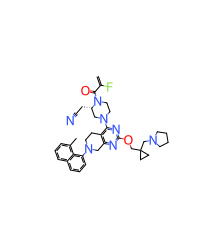 C=C(F)C(=O)N1CCN(c2nc(OCC3(CN4CCCC4)CC3)nc3c2CCN(c2cccc4cccc(C)c24)C3)C[C@@H]1CC#N